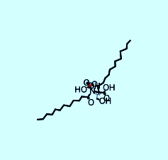 CCCCCCCCCCCC(=O)N([C@](CO)(C(=O)O)C(=O)CCCCCCCCCCC)P(=O)(O)O